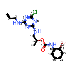 C=CCNc1nc(Cl)nc(NCC(C)OC(=O)Nc2ccccc2Br)n1